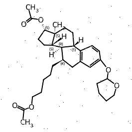 CC(=O)OCCCCC[C@@H]1Cc2cc(OC3CCCCO3)ccc2[C@H]2CC[C@]3(C)[C@@H](OC(C)=O)CC[C@H]3[C@H]12